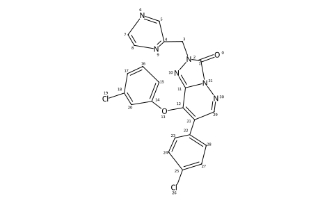 O=c1n(Cc2cnccn2)nc2c(Oc3cccc(Cl)c3)c(-c3ccc(Cl)cc3)cnn12